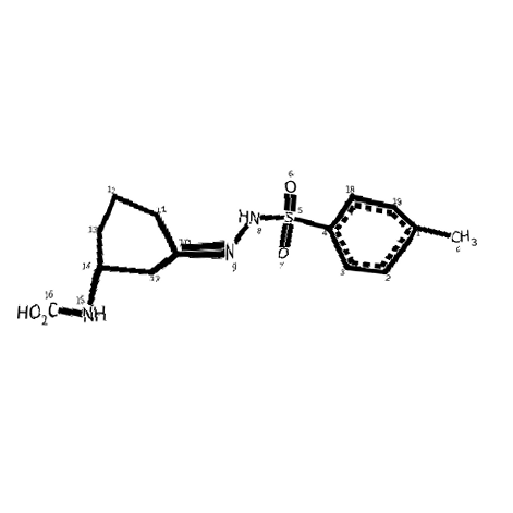 Cc1ccc(S(=O)(=O)NN=C2CCCC(NC(=O)O)C2)cc1